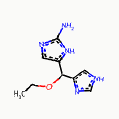 CCOC(c1c[nH]cn1)c1cnc(N)[nH]1